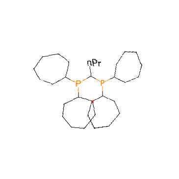 CCCC(P(C1CCCCCC1)C1CCCCCC1)P(C1CCCCCC1)C1CCCCCC1